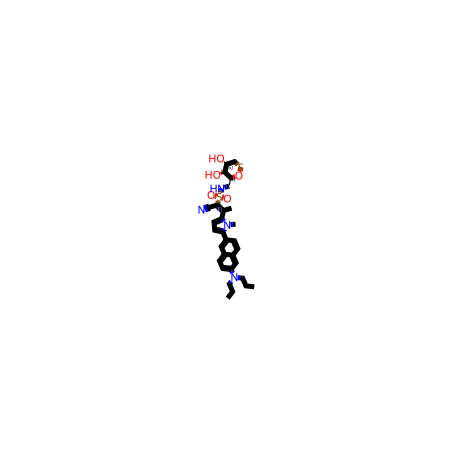 CCCN(CCC)c1ccc2cc(-c3ccc(/C(C)=C(\C#N)S(=O)(=O)NC[C@H]4OSC[C@@H](O)[C@@H]4O)n3C)ccc2c1